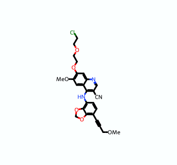 COCC#Cc1ccc(Nc2c(C#N)cnc3cc(OCCOCCCl)c(OC)cc23)c2c1OCO2